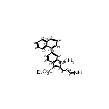 CCOC(=O)c1c(CSC=N)n(C)c2cc(-c3cccc4ccccc34)ccc12